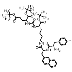 CC(C)(C)OC(=O)CC[C@H](NC(=O)N[C@@H](CCCCNC(=O)[C@H](Cc1ccc2ccccc2c1)NC(=O)[C@@H](N)Cc1ccc(I)cc1)C(=O)OC(C)(C)C)C(=O)OC(C)(C)C